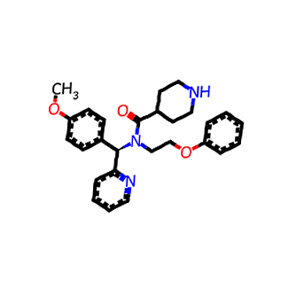 COc1ccc([C@H](c2ccccn2)N(CCOc2ccccc2)C(=O)C2CCNCC2)cc1